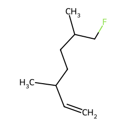 C=CC(C)CCC(C)CF